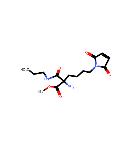 CC(C)(C)OC(=O)C(N)(CCCCN1C(=O)C=CC1=O)C(=O)NCCC(=O)O